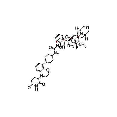 CN(C(=O)N1CCC(Oc2cc(F)cc(N3[C@@H]4COC[C@H]3CN(c3cc(-c5ccccc5O)nnc3N)C4)c2)CC1)C1CCN(c2cccc3c2OCCN3[C@H]2CCC(=O)NC2=O)CC1